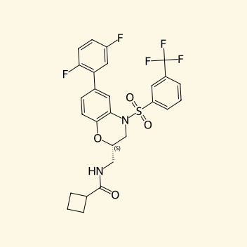 O=C(NC[C@H]1CN(S(=O)(=O)c2cccc(C(F)(F)F)c2)c2cc(-c3cc(F)ccc3F)ccc2O1)C1CCC1